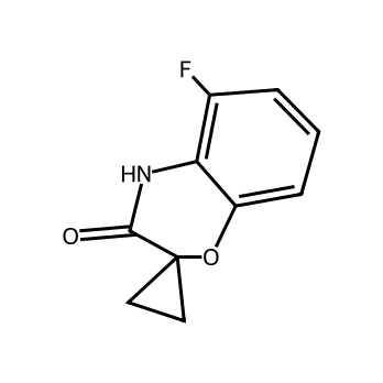 O=C1Nc2c(F)cccc2OC12CC2